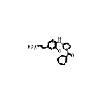 O=C(O)/C=C/c1cnc(N[C@@H]2CCN(C(=O)C3CCCCC3)C2)c(Cl)c1